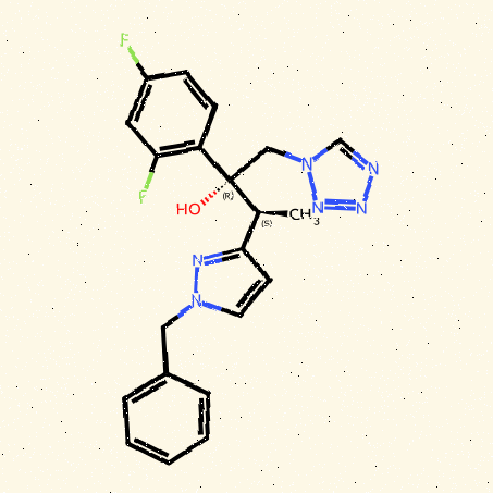 C[C@@H](c1ccn(Cc2ccccc2)n1)[C@](O)(Cn1cnnn1)c1ccc(F)cc1F